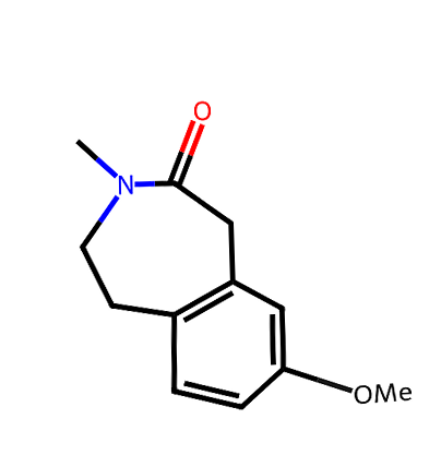 COc1ccc2c(c1)CC(=O)N(C)CC2